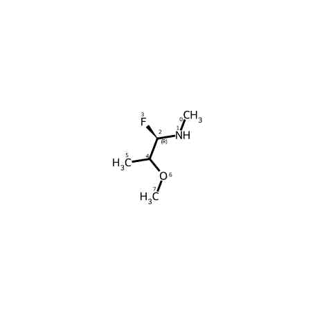 CN[C@H](F)C(C)OC